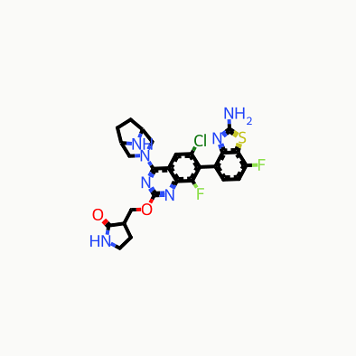 Nc1nc2c(-c3c(Cl)cc4c(N5CC6CCC(C5)N6)nc(OCC5CCNC5=O)nc4c3F)ccc(F)c2s1